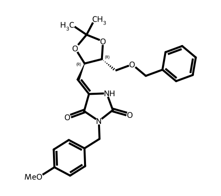 COc1ccc(CN2C(=O)NC(=C[C@H]3OC(C)(C)O[C@@H]3COCc3ccccc3)C2=O)cc1